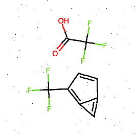 FC(F)(F)c1ccc2cc1-2.O=C(O)C(F)(F)F